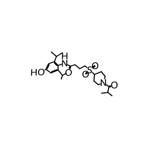 CC(C)C(=O)N1CCC(S(=O)(=O)CCCC(=O)Nc2c(C(C)C)cc(O)cc2C(C)C)CC1